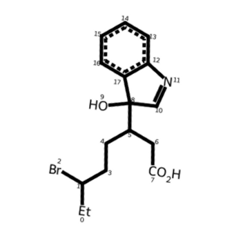 CCC(Br)CCC(CC(=O)O)C1(O)C=Nc2ccccc21